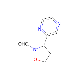 O=CN1OCC[C@H]1c1cnccn1